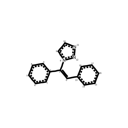 C(=C(c1ccccc1)n1ccnn1)c1ccccc1